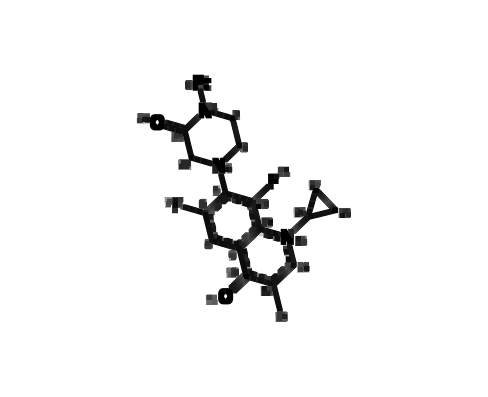 CCN1CCN(c2c(F)cc3c(=O)c(C)cn(C4CC4)c3c2F)CC1=O